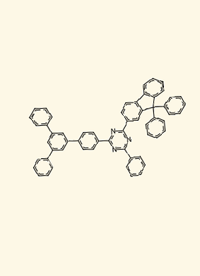 c1ccc(-c2cc(-c3ccccc3)cc(-c3ccc(-c4nc(-c5ccccc5)nc(-c5ccc6c(c5)C(c5ccccc5)(c5ccccc5)c5ccccc5-6)n4)cc3)c2)cc1